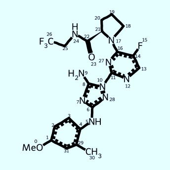 COc1ccc(Nc2nc(N)n(-c3ncc(F)c(N4CCC[C@@H]4C(=O)NCC(F)(F)F)n3)n2)c(C)c1